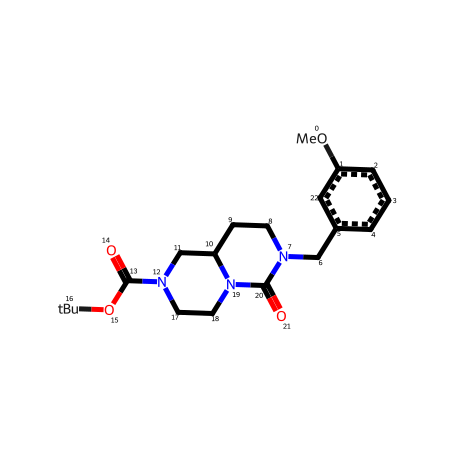 COc1cccc(CN2CCC3CN(C(=O)OC(C)(C)C)CCN3C2=O)c1